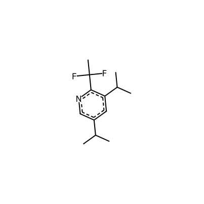 CC(C)c1cnc(C(C)(F)F)c(C(C)C)c1